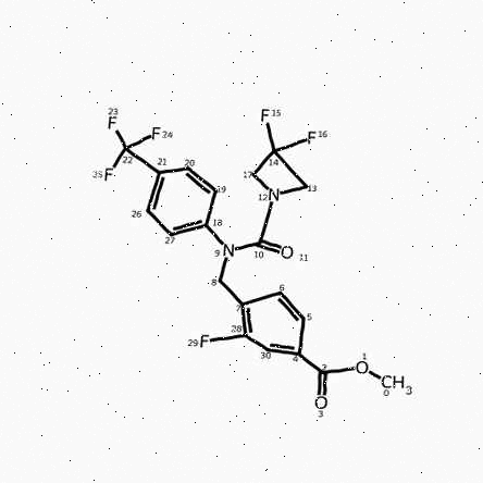 COC(=O)c1ccc(CN(C(=O)N2CC(F)(F)C2)c2ccc(C(F)(F)F)cc2)c(F)c1